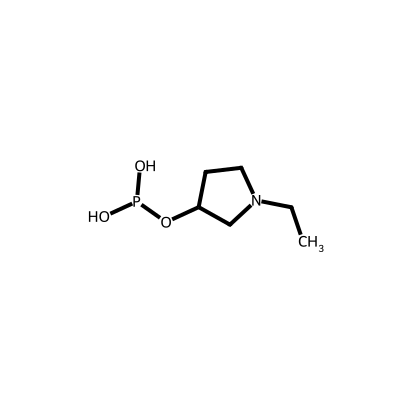 CCN1CCC(OP(O)O)C1